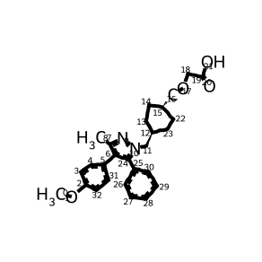 COc1ccc(-c2c(C)nn(C[C@H]3CC[C@H](COCC(=O)O)CC3)c2-c2ccccc2)cc1